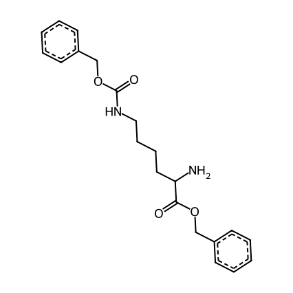 NC(CCCCNC(=O)OCc1ccccc1)C(=O)OCc1ccccc1